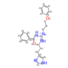 O=C(N/C(=N\CCCOc1ccccc1)NCCCc1c[nH]cn1)c1ccccc1